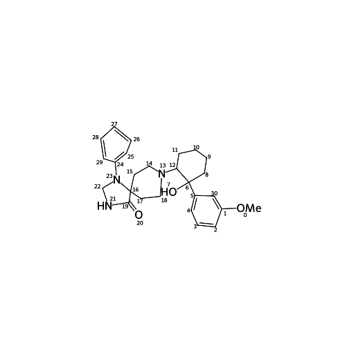 COc1cccc(C2(O)CCCCC2N2CCC3(CC2)C(=O)NCN3c2ccccc2)c1